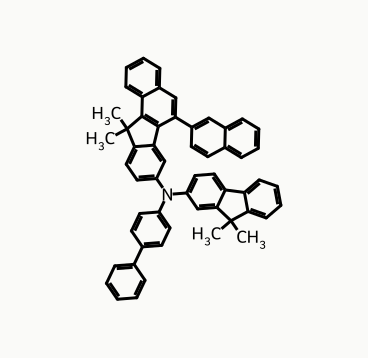 CC1(C)c2ccccc2-c2ccc(N(c3ccc(-c4ccccc4)cc3)c3ccc4c(c3)-c3c(-c5ccc6ccccc6c5)cc5ccccc5c3C4(C)C)cc21